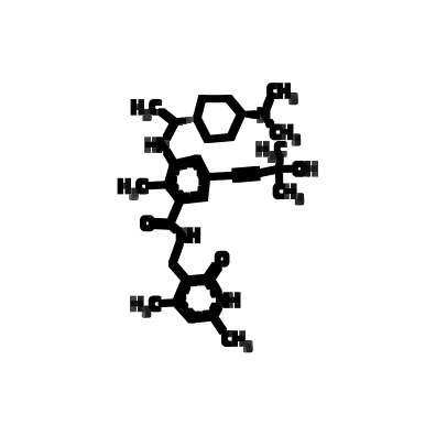 Cc1cc(C)c(CNC(=O)c2cc(C#CC(C)(C)O)cc(NC(C)[C@H]3CC[C@H](N(C)C)CC3)c2C)c(=O)[nH]1